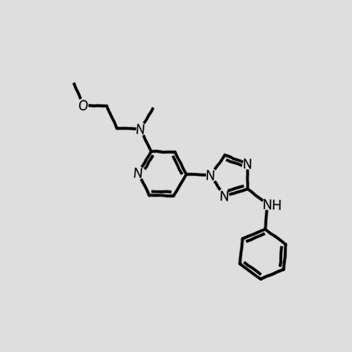 COCCN(C)c1cc(-n2cnc(Nc3ccccc3)n2)ccn1